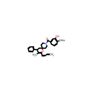 C=C/C=C\C1=C(C)C(c2ccccc2)CC2(CCN(C(=O)C3=CC(O)=C(OC)C=CC3)CC2)O1